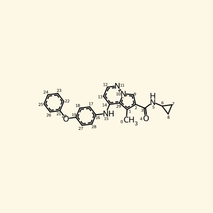 Cc1c(C(=O)NC2CC2)cn2nccc(Nc3ccc(Oc4ccccc4)cc3)c12